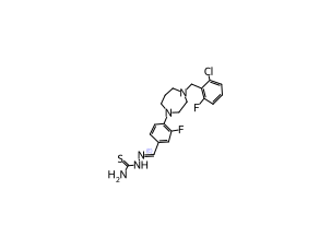 NC(=S)N/N=C/c1ccc(N2CCCN(Cc3c(F)cccc3Cl)CC2)c(F)c1